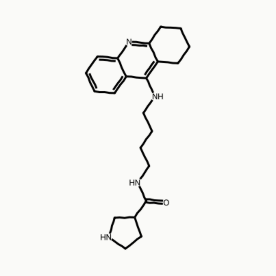 O=C(NCCCCNc1c2c(nc3ccccc13)CCCC2)C1CCNC1